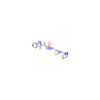 O=C(CSc1nc2ccccc2s1)NCC1CCCN(Cc2nccs2)C1